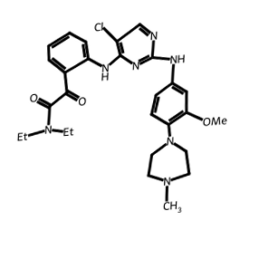 CCN(CC)C(=O)C(=O)c1ccccc1Nc1nc(Nc2ccc(N3CCN(C)CC3)c(OC)c2)ncc1Cl